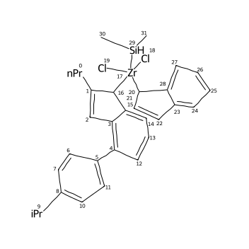 CCCC1=Cc2c(-c3ccc(C(C)C)cc3)cccc2[CH]1[Zr]([Cl])([Cl])([CH]1C=Cc2ccccc21)[SiH](C)C